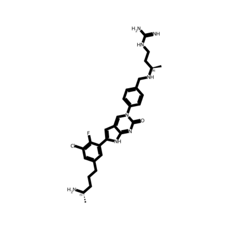 C[C@H](N)CCCc1cc(Cl)c(F)c(-c2cc3cn(-c4ccc(CN[C@H](C)CCNC(=N)N)cc4)c(=O)nc3[nH]2)c1